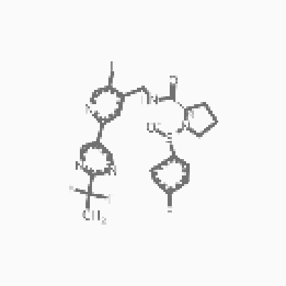 CC(F)(F)c1ncc(-c2cc(CNC(=O)[C@@H]3CCCN3[S+]([O-])c3ccc(F)cc3)c(F)cn2)cn1